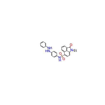 CCN1C(=O)c2cccc3c(S(=O)(=O)Nc4ccc(NNc5ccccc5)cc4)ccc1c23